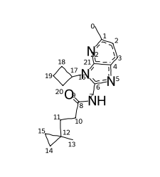 Cc1ccc2nc(NC(=O)CCC3(C)CC3)n(C3CCC3)c2n1